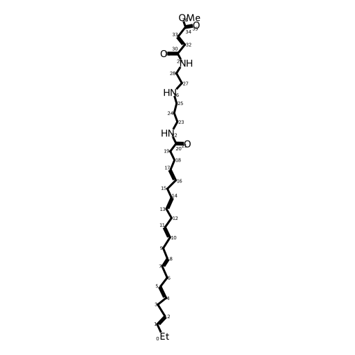 CCC=CCC=CCC=CCC=CCC=CCC=CCCC(=O)NCCCNCCNC(=O)C=CC(=O)OC